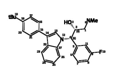 CNC[C@@H](O)[C@H](c1cccc(F)c1)n1cc(-c2ccc(C(C)(C)C)cc2)c2ccccc21